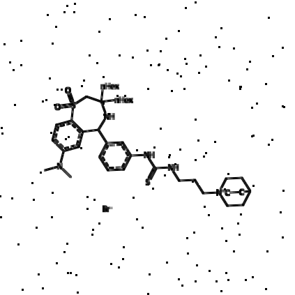 CCCCCCC1(CCCCCC)CS(=O)(=O)c2ccc(N(C)C)cc2C(c2cccc(NC(=S)NCCC[N+]34CCC(CC3)CC4)c2)N1.[Br-]